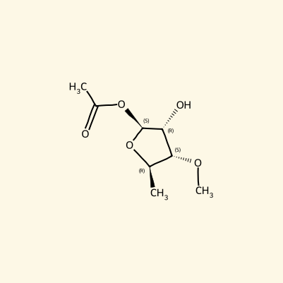 CO[C@H]1[C@@H](O)[C@H](OC(C)=O)O[C@@H]1C